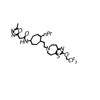 CCCC1CCC(NC(=O)Cc2nnc(C)o2)CCC1CCN1CCc2nc(OCC(F)(F)F)sc2CC1